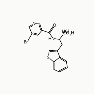 Cl.O=C(NC(Cc1csc2ccccc12)C(=O)O)c1cncc(Br)c1